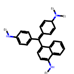 CCNc1ccc(C(=C2C=CC(N(CC)CC)C=C2)c2ccc(NCC)c3ccccc23)cc1